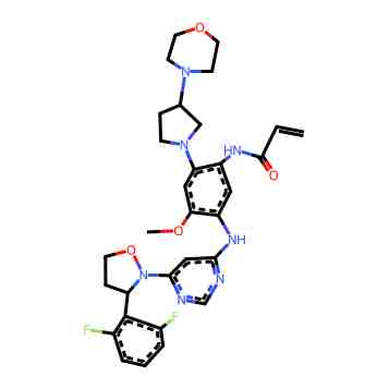 C=CC(=O)Nc1cc(Nc2cc(N3OCCC3c3c(F)cccc3F)ncn2)c(OC)cc1N1CCC(N2CCOCC2)C1